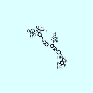 Cn1c(=O)n([C@@H]2CCC(=O)NC2=O)c2ccc(CCN3Cc4ccc(-c5ccc6cn(C7CCC(CNC(=O)c8cc(F)c(O)c(F)c8F)CC7)nc6c5)cc4C3)cc21.O=C(O)C(F)(F)F